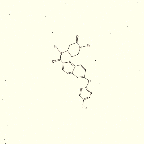 CCN1CCC(N(CC)C(=O)c2ccc3cc(Oc4ccc(C(F)(F)F)cn4)ccc3n2)CC1=O